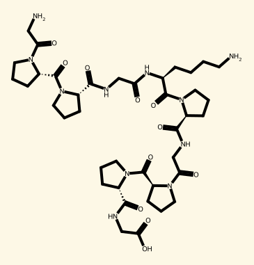 NCCCC[C@H](NC(=O)CNC(=O)[C@@H]1CCCN1C(=O)[C@@H]1CCCN1C(=O)CN)C(=O)N1CCC[C@H]1C(=O)NCC(=O)N1CCC[C@H]1C(=O)N1CCC[C@H]1C(=O)NCC(=O)O